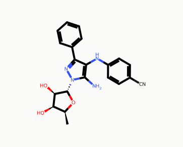 C[C@@H]1O[C@@H](n2nc(-c3ccccc3)c(Nc3ccc(C#N)cc3)c2N)[C@H](O)[C@@H]1O